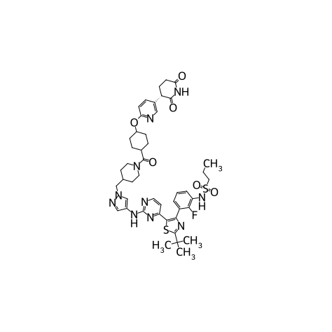 CCCS(=O)(=O)Nc1cccc(-c2nc(C(C)(C)C)sc2-c2ccnc(Nc3cnn(CC4CCN(C(=O)C5CCC(Oc6ccc([C@@H]7CCC(=O)NC7=O)cn6)CC5)CC4)c3)n2)c1F